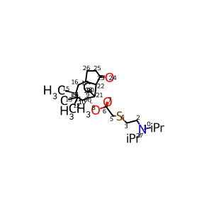 CC(C)N(CCSCC(=O)O[C@@H]1CC(C)(C)[C@@H](C)CC23CCCC1C2C(=O)CC3)C(C)C